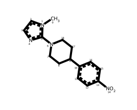 Cn1ccnc1N1CCC(c2ccc([N+](=O)[O-])cc2)CC1